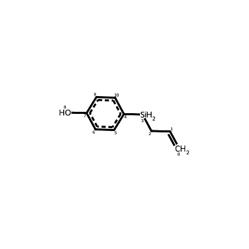 C=CC[SiH2]c1ccc(O)cc1